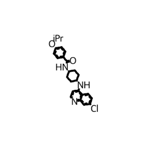 CC(C)Oc1ccc(C(=O)N[C@H]2CC[C@@H](Nc3ccnc4cc(Cl)ccc34)CC2)cc1